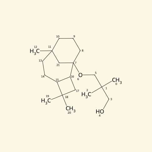 CC(C)(CO)COC12CCCC(C)(CCC3C1CC3(C)C)C2